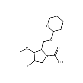 COC1C(F)CN(C(=O)O)C1COC1CCCCO1